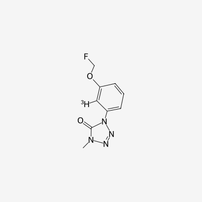 [3H]c1c(OCF)cccc1-n1nnn(C)c1=O